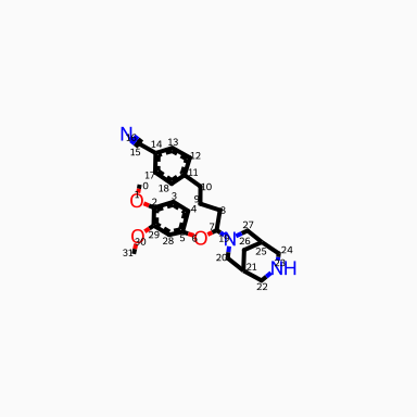 COc1ccc(OC(CCCc2ccc(C#N)cc2)N2CC3CNCC(C3)C2)cc1OC